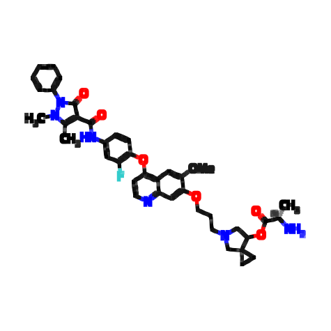 COc1cc2c(Oc3ccc(NC(=O)c4c(C)n(C)n(-c5ccccc5)c4=O)cc3F)ccnc2cc1OCCCN1CC(OC(=O)[C@H](C)N)C2(CC2)C1